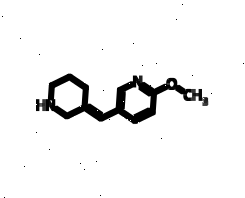 COc1ccc(C=C2CCCNC2)cn1